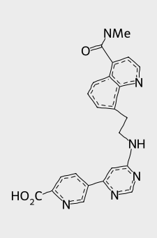 CNC(=O)c1ccnc2c(CCNc3cc(-c4ccc(C(=O)O)nc4)ncn3)cccc12